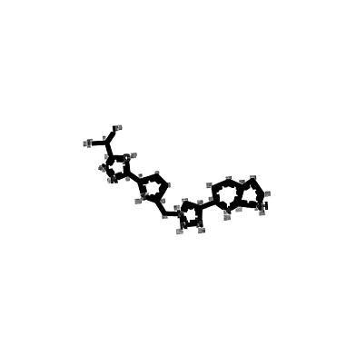 FC(F)c1nnc(-c2ccc(Cn3cc(-c4ccc5cc[nH]c5n4)nn3)s2)o1